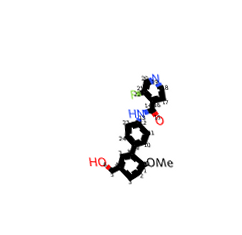 COc1ccc(CO)cc1-c1ccc(NC(=O)c2ccncc2F)cc1